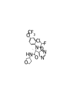 C[C@@](C(=O)N[C@H]1CCOC1)(c1cncnc1)N(C(=O)[C@H](F)Cl)c1ccc(OC(F)(F)F)cc1